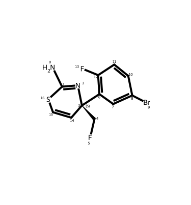 NC1=N[C@](CF)(c2cc(Br)ccc2F)C=CS1